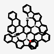 N#Cc1c(-c2cc3ccccc3c3ccccc23)c(C#N)c(-n2c3ccccc3c3ccc4c5ccccc5sc4c32)c(-c2cc3ccccc3c3ccccc23)c1-n1c2ccccc2c2ccc3c4ccccc4sc3c21